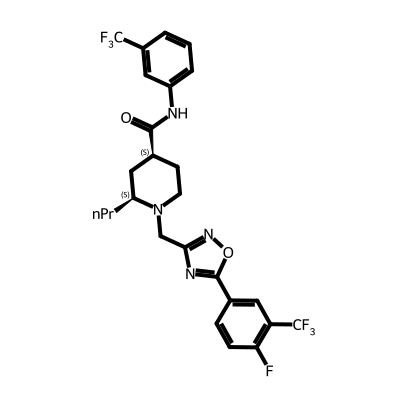 CCC[C@H]1C[C@@H](C(=O)Nc2cccc(C(F)(F)F)c2)CCN1Cc1noc(-c2ccc(F)c(C(F)(F)F)c2)n1